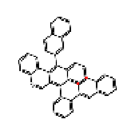 c1ccc(-c2c3ccccc3c(-c3ccc4ccccc4c3)c3c2cnc2ccccc23)c(-c2ccc3ccccc3c2)c1